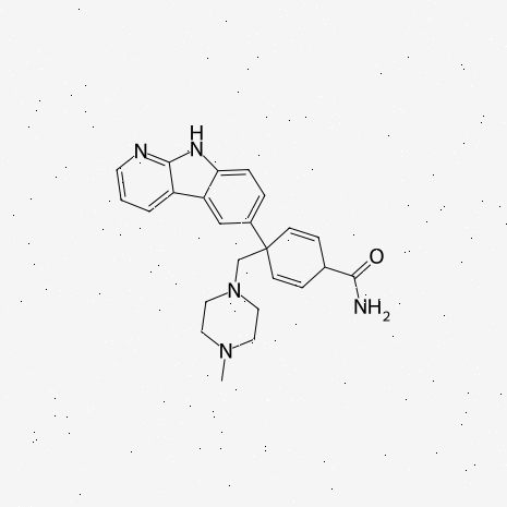 CN1CCN(CC2(c3ccc4[nH]c5ncccc5c4c3)C=CC(C(N)=O)C=C2)CC1